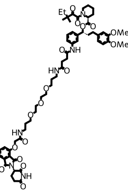 CCC(C)(C)C(=O)C(=O)N1CCCC[C@H]1C(=O)O[C@H](CCc1ccc(OC)c(OC)c1)c1cccc(NC(=O)CCC(=O)NCCCOCCOCCOCCCNC(=O)COc2cccc3c2C(=O)N([C@@H]2CCC(=O)NC2=O)C3=O)c1